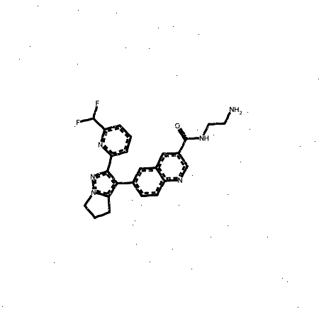 NCCNC(=O)c1cnc2ccc(-c3c(-c4cccc(C(F)F)n4)nn4c3CCC4)cc2c1